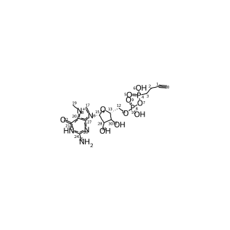 C#CCCP(=O)(O)OP(=O)(O)OC[C@H]1O[C@@H](n2c[n+](C)c3c(=O)[nH]c(N)nc32)C(O)C1O